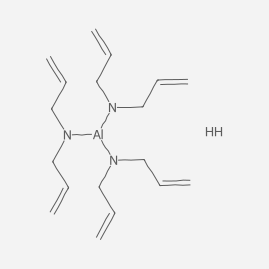 C=CC[N](CC=C)[Al]([N](CC=C)CC=C)[N](CC=C)CC=C.[HH]